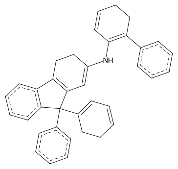 C1=CCCC(C2(c3ccccc3)C3=C(CCC(NC4=C(c5ccccc5)CCC=C4)=C3)c3ccccc32)=C1